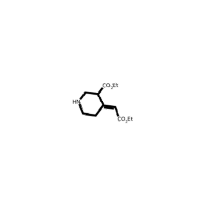 CCOC(=O)C=C1CCNCC1C(=O)OCC